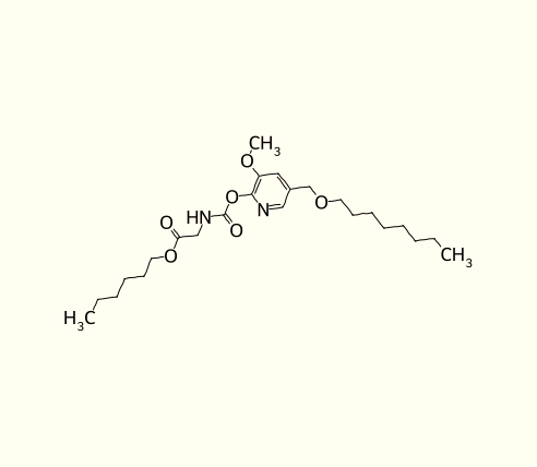 CCCCCCCCOCc1cnc(OC(=O)NCC(=O)OCCCCCC)c(OC)c1